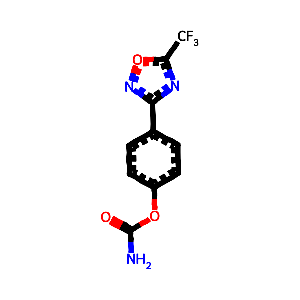 NC(=O)Oc1ccc(-c2noc(C(F)(F)F)n2)cc1